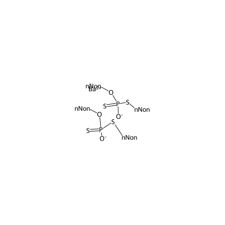 CCCCCCCCCOP([O-])(=S)SCCCCCCCCC.CCCCCCCCCOP([O-])(=S)SCCCCCCCCC.[Ba+2]